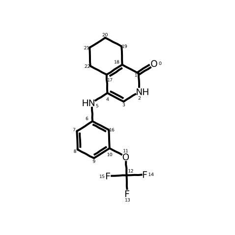 O=c1[nH]cc(Nc2cccc(OC(F)(F)F)c2)c2c1CCCC2